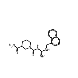 N=C(NCc1cccc2ccccc12)NC(=O)N1CCCC(C(N)=O)C1